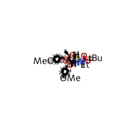 C#C[C@H]1O[C@@H]2SC(N(CC)C(=O)OC(C)(C)C)=N[C@@H]2[C@@H](OCc2ccc(OC)cc2)[C@@H]1OCc1ccc(OC)cc1